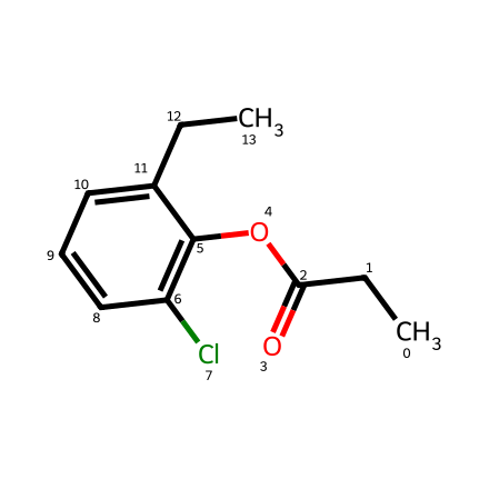 CCC(=O)Oc1c(Cl)cccc1CC